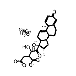 C[C@H]1CC2C3CCC4=CC(=O)C=C[C@]4(C)C3=CC[C@]2(C)[C@@]1(O)C(=O)C(O)C(CC(=O)[O-])C(=O)[O-].O.[Na+].[Na+]